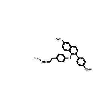 CCCCCCN=C=CCc1ccc(Oc2c(-c3ccc(OC)cc3)ccc3cc(OC)ccc23)cc1